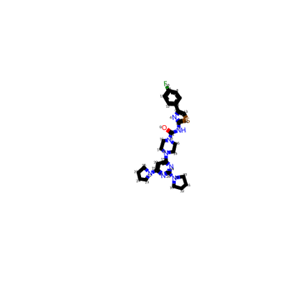 O=C(Nc1nc(-c2ccc(F)cc2)cs1)N1CCN(c2cc(N3CCCC3)nc(N3CCCC3)n2)CC1